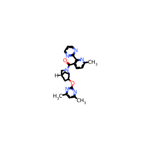 Cc1cc(C)nc(OC2C[C@H]3CC2N(C(=O)c2ccc(C)nc2-c2ncccn2)C3)n1